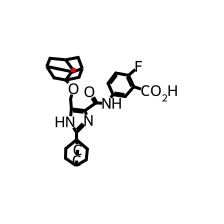 O=C(O)c1cc(NC(=O)c2nc(C34CCC(CC3)CC4)[nH]c2COC23CC4CC(CC(C4)C2)C3)ccc1F